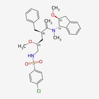 C=C([C@H](Cc1ccccc1)C[C@@H](CNS(=O)(=O)c1ccc(Cl)cc1)OC)N(C)[C@H]1c2ccccc2C[C@@H]1OC